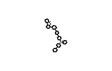 c1ccc(-c2ccc(N(c3ccccc3)c3ccc(-c4ccc(-c5cccc(-c6cccc7c6sc6ccccc67)c5)cc4)cc3)cc2)cc1